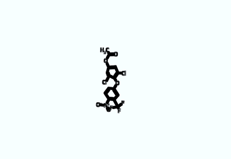 CC(=O)Oc1cc(Cl)c(Oc2ccc([N+](=O)[O-])c(C(F)(F)F)c2)c(Cl)c1